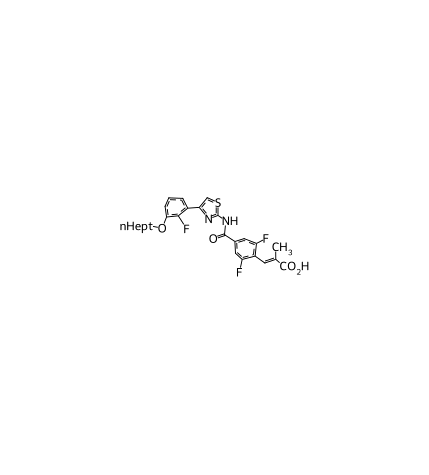 CCCCCCCOc1cccc(-c2csc(NC(=O)c3cc(F)c(C=C(C)C(=O)O)c(F)c3)n2)c1F